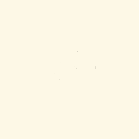 C=CC(=O)OC(CCCC)[Si](OCC)(OCC)OCC